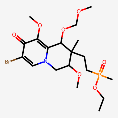 CCOP(C)(=O)CCC1(C)C(OC)Cn2cc(Br)c(=O)c(OC)c2C1OCOC